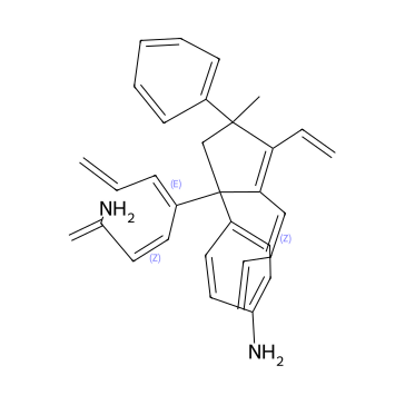 C=C/C=C\C1=C(C=C)C(C)(c2ccccc2)CC1(C(/C=C\C(=C)N)=C/C=C)c1ccc(N)cc1